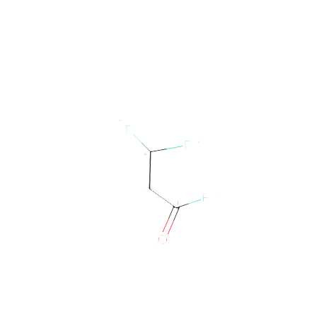 O=C(F)CC(F)F